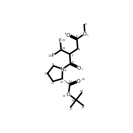 COC(=O)CC(C(=O)N1CCC[C@H]1C(=O)OC(C)(C)C)C(F)F